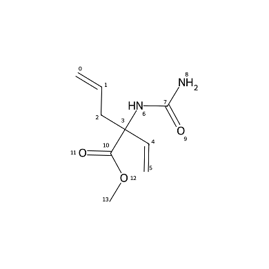 C=CCC(C=C)(NC(N)=O)C(=O)OC